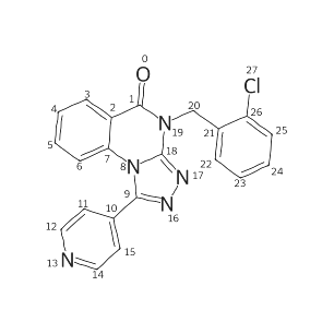 O=c1c2ccccc2n2c(-c3ccncc3)nnc2n1Cc1ccccc1Cl